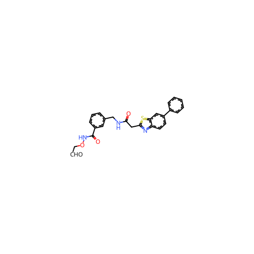 O=CCONC(=O)c1cccc(CNC(=O)Cc2nc3ccc(-c4ccccc4)cc3s2)c1